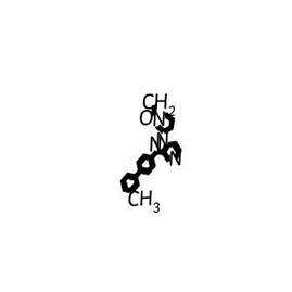 C=CC(=O)N1CCCC(n2nc(-c3ccc(-c4cccc(C)c4)cc3)c3cnccc32)C1